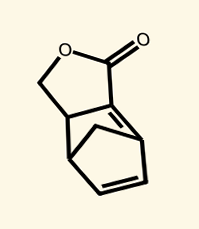 O=C1OCC2C1=C1C=CC2C1